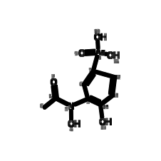 CC(=O)N(O)c1cc([As](=O)(O)O)ccc1O